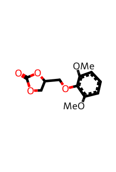 COc1cccc(OC)c1OCC1COC(=O)O1